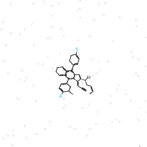 C#C/C=C1\C(C(CC)C/C=C\C)=Cc2c1c(C1=CC=C(F)C(C)C1)c1c(c2C2=CC=C(F)CC2)=CCCC=1